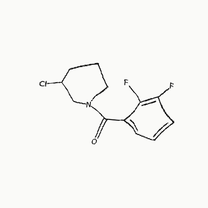 O=C(c1cccc(F)c1F)N1CCCC(Cl)C1